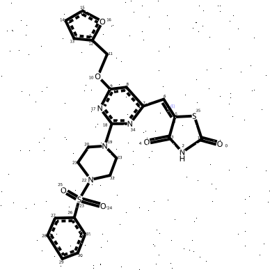 O=C1NC(=O)/C(=C\c2cc(OCc3ccco3)nc(N3CCN(S(=O)(=O)c4ccccc4)CC3)n2)S1